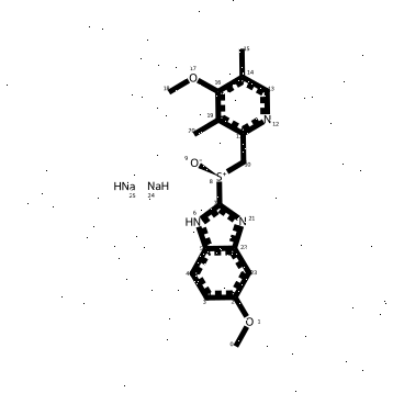 COc1ccc2[nH]c([S@@+]([O-])Cc3ncc(C)c(OC)c3C)nc2c1.[NaH].[NaH]